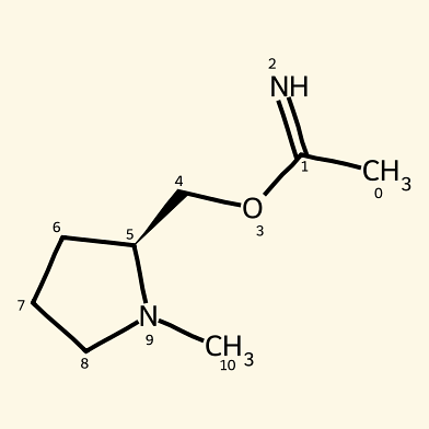 CC(=N)OC[C@@H]1CCCN1C